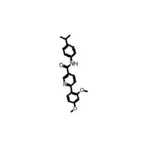 COc1ccc(-c2ccc(C(=O)Nc3ccc(C(C)C)cc3)cn2)c(OC)c1